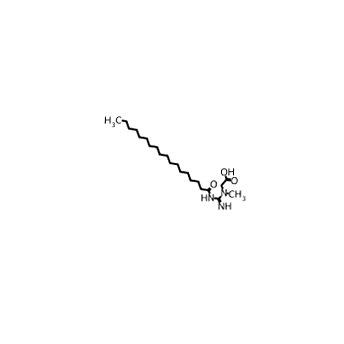 CCCCCCCCCCCCCCCCCC(=O)NC(=N)N(C)CC(=O)O